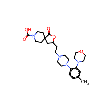 Cc1ccc(N2CCN(CCC3CC4(CCN(C(=O)O)CC4)C(=O)O3)CC2)c(N2CCOCC2)c1